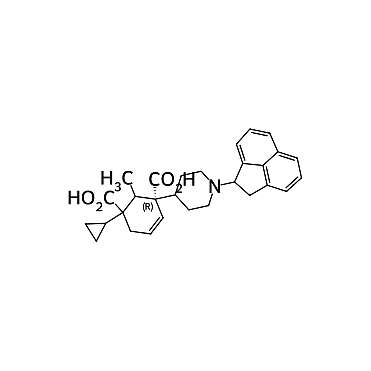 CC1C(C(=O)O)(C2CC2)CC=C[C@]1(C(=O)O)C1CCN(C2Cc3cccc4cccc2c34)CC1